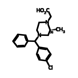 C[C@@H]1CN(C(c2ccccc2)c2ccc(Cl)cc2)CCN1CC(=O)O